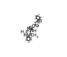 CC(=N)/C(NC(=O)COC(=O)Cc1coc2ccccc12)=C(/C)Nc1ccccc1